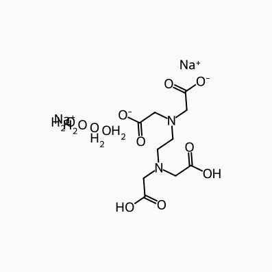 O.O.O.O.O=C([O-])CN(CCN(CC(=O)O)CC(=O)O)CC(=O)[O-].[Na+].[Na+]